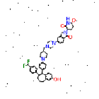 O=C1CCC(N2Cc3cc(N4CCN(CC5CCN(c6ccc(C7=C(c8ccc(C(F)F)cc8)CCCc8cc(O)ccc87)cc6)CC5)CC4)ccc3C2=O)C(=O)N1